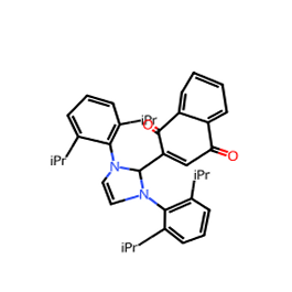 CC(C)c1cccc(C(C)C)c1N1C=CN(c2c(C(C)C)cccc2C(C)C)C1C1=CC(=O)c2ccccc2C1=O